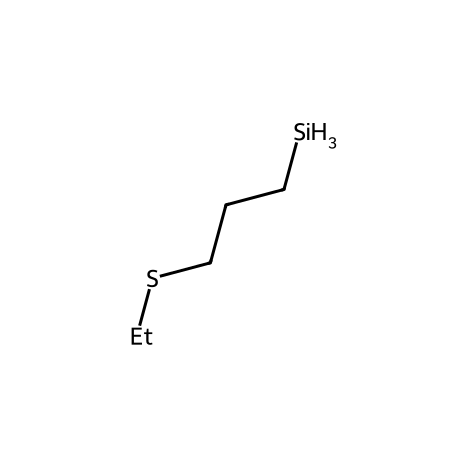 CCSCCC[SiH3]